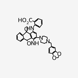 O=C(O)c1ccccc1Nc1cc(N2CCN(Cc3ccc4c(c3)OCO4)CC2)c2c3c1C(=O)c1ccccc1C3ON2